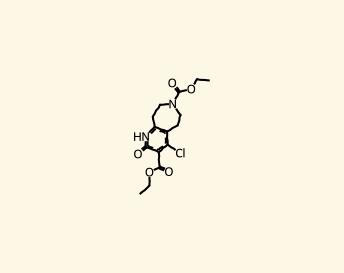 CCOC(=O)c1c(Cl)c2c([nH]c1=O)CCN(C(=O)OCC)CC2